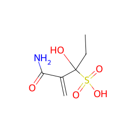 C=C(C(N)=O)C(O)(CC)S(=O)(=O)O